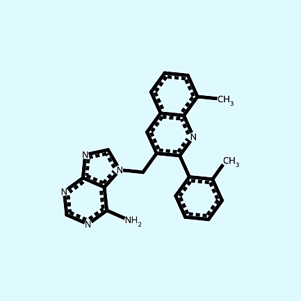 Cc1ccccc1-c1nc2c(C)cccc2cc1Cn1cnc2ncnc(N)c21